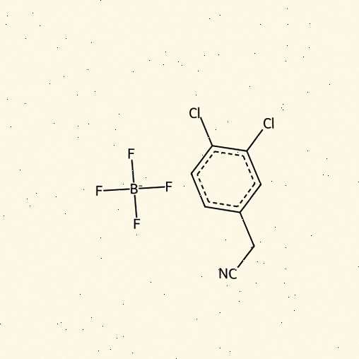 F[B-](F)(F)F.[NH+]#CCc1ccc(Cl)c(Cl)c1